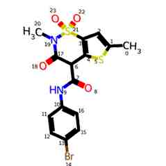 Cc1cc2c(s1)C(C(=O)Nc1ccc(Br)cc1)C(=O)N(C)S2(=O)=O